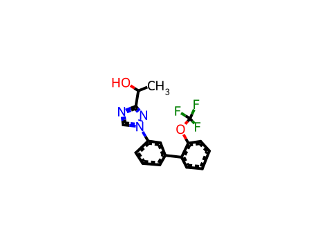 CC(O)c1ncn(-c2cccc(-c3ccccc3OC(F)(F)F)c2)n1